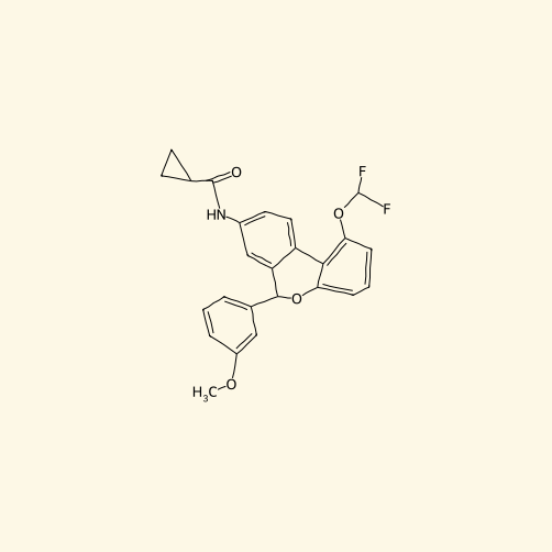 COc1cccc(C2Oc3cccc(OC(F)F)c3-c3ccc(NC(=O)C4CC4)cc32)c1